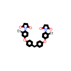 CCc1cc(Oc2ccc(Cc3ccc(Oc4ccc(N5C(=O)C=CC5=O)c(CC)c4)cc3)cc2)ccc1N1C(=O)C=CC1=O